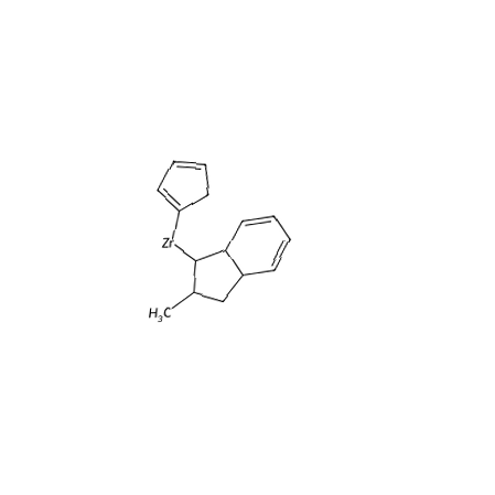 CC1CC2C=CC=CC2[CH]1[Zr][C]1=CC=CC1